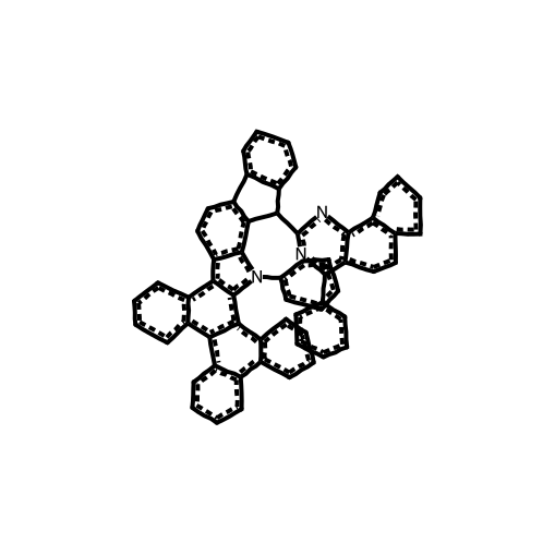 c1ccc(-c2nc(C3c4ccccc4-c4ccc5c6c7ccccc7c7c8ccccc8c8ccccc8c7c6n(-c6ccccc6)c5c43)nc3c2ccc2ccccc23)cc1